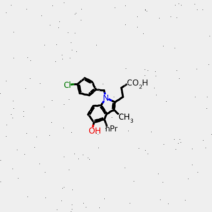 CCCc1c(O)ccc2c1c(C)c(CCC(=O)O)n2Cc1ccc(Cl)cc1